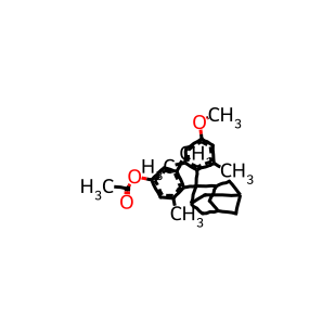 COc1cc(C)c(C2(c3c(C)cc(OC(C)=O)cc3C)C3CC4CC(C3)CC2C4)c(C)c1